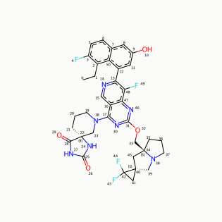 CCc1c(F)ccc2cc(O)cc(-c3ncc4c(N5CCC[C@]6(C5)NC(=O)NC6=O)nc(OC[C@@]56CCCN5C[C@@]5(CC5(F)F)C6)nc4c3F)c12